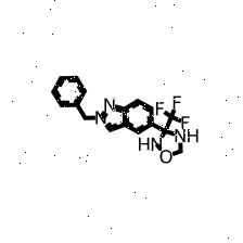 FC(F)(F)C1(c2ccc3nn(Cc4ccccc4)cc3c2)NCON1